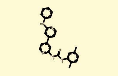 Cc1ccc(C)c(NC(=O)Nc2cc(-c3ccnc(Nc4ccccc4)c3)ccn2)c1